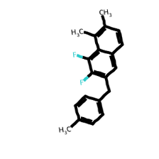 Cc1ccc(Cc2cc3ccc(C)c(C)c3c(F)c2F)cc1